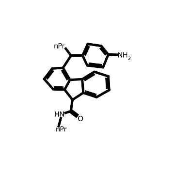 CCCNC(=O)C1c2ccccc2-c2c(C(CCC)c3ccc(N)cc3)cccc21